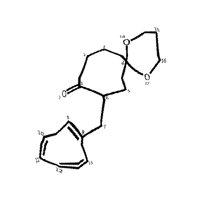 O=C1CCC2(CC1Cc1ccccc1)OCCO2